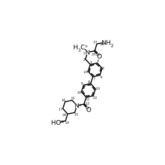 CN(Cc1cccc(-c2ccc(C(=O)N3CCCC(CO)C3)cc2)c1)C(=O)CN